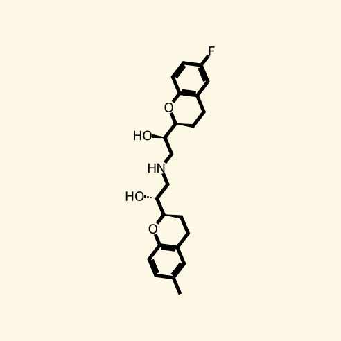 Cc1ccc2c(c1)CC[C@H]([C@H](O)CNC[C@@H](O)[C@@H]1CCc3cc(F)ccc3O1)O2